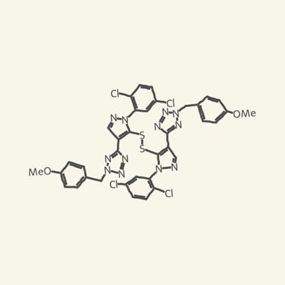 COc1ccc(Cn2nnc(-c3cnn(-c4cc(Cl)ccc4Cl)c3SSc3c(-c4nnn(Cc5ccc(OC)cc5)n4)cnn3-c3cc(Cl)ccc3Cl)n2)cc1